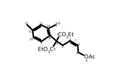 CCOC(=O)C(C/C=C\COC(C)=O)(C(=O)OCC)c1ccc(C)cc1I